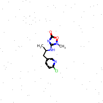 CC(Cc1ccc(Cl)nc1)Nc1nc(=O)on1C